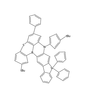 CC(C)(C)c1ccc(N2c3cc4c(cc3B3c5cc(C(C)(C)C)ccc5Sc5cc(-c6ccccc6)cc2c53)-c2ccccc2[Si]4(c2ccccc2)c2ccccc2)cc1